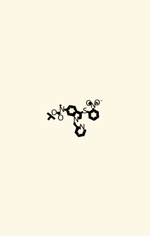 CN(C(=O)OC(C)(C)C)c1ccc2c(Sc3ccccc3[N+](=O)[O-])cn(Cc3ccccn3)c2c1